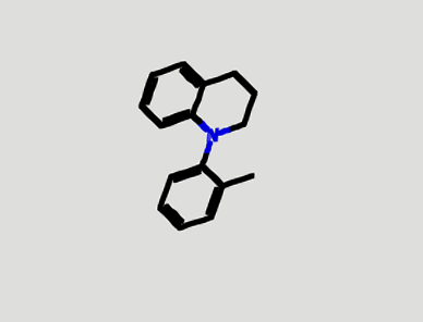 Cc1ccccc1N1CCCc2ccccc21